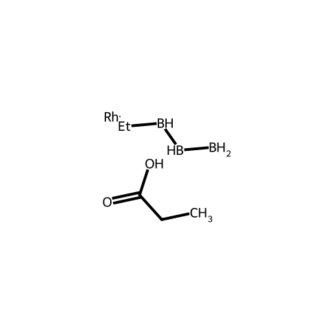 BBBCC.CCC(=O)O.[Rh]